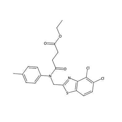 CCOC(=O)CCC(=O)N(Cc1nc2c(Cl)c(Cl)ccc2s1)c1ccc(C)cc1